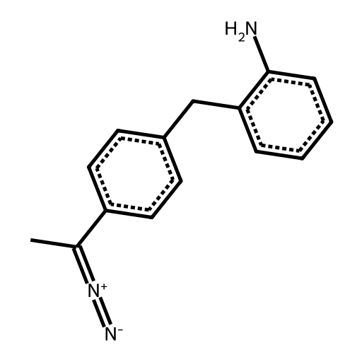 CC(=[N+]=[N-])c1ccc(Cc2ccccc2N)cc1